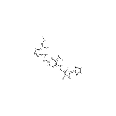 CCOC(=O)C1=C[N]N=C1OCc1ccc(OCc2nc(-c3ccco3)oc2C)c(OC)c1